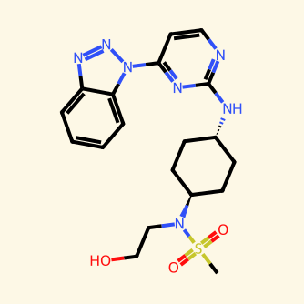 CS(=O)(=O)N(CCO)[C@H]1CC[C@H](Nc2nccc(-n3nnc4ccccc43)n2)CC1